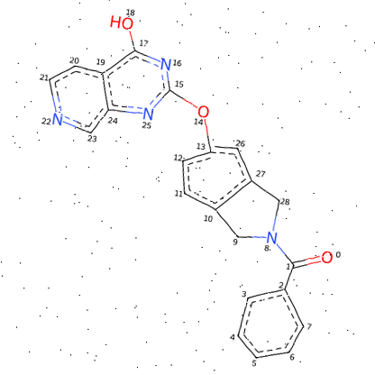 O=C(c1ccccc1)N1Cc2ccc(Oc3nc(O)c4ccncc4n3)cc2C1